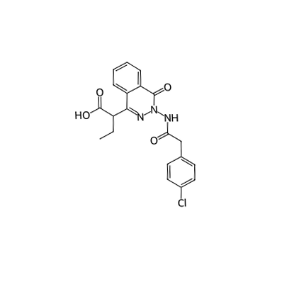 CCC(C(=O)O)c1nn(NC(=O)Cc2ccc(Cl)cc2)c(=O)c2ccccc12